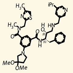 COC1(OC)CCN(c2cc(C(=O)N[C@@H](Cc3ccccc3)[C@H](O)CNCc3cncc(C(C)C)c3)cc(C(=O)N(C)Cc3nc(C)cs3)c2)C1